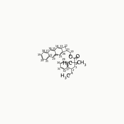 CCC(CC(C)(C)C(=O)OCC1Cc2cc3cc4ccccc4cc3cc21)c1ccccc1